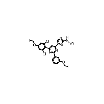 CCCNc1ncc(-c2cc(-c3c(Cl)cc(OCI)cc3Cl)nc(-c3cccc(OCI)c3)n2)s1